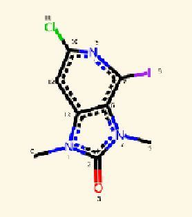 Cn1c(=O)n(C)c2c(I)nc(Cl)cc21